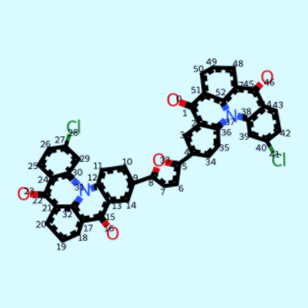 O=c1c2cc(-c3ccc(-c4ccc5c(c4)c(=O)c4cccc6c(=O)c7ccc(Cl)cc7n5c46)o3)ccc2n2c3cc(Cl)ccc3c(=O)c3cccc1c32